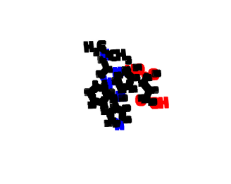 CN(C)CCCN1c2ccccc2C(c2ccncc2)=Nc2cccnc21.O=C(O)C=CC(=O)O